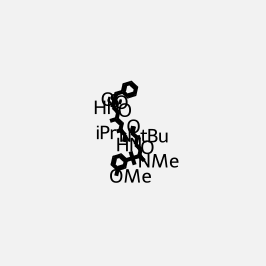 CNC(C(=O)NC(C(=O)N(C)C(/C=C(\C)C(=O)NS(=O)(=O)Cc1ccccc1)C(C)C)C(C)(C)C)C(C)(C)c1cccc(OC)c1